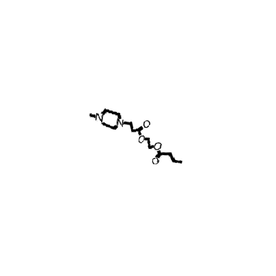 CCCC(=O)OCCOC(=O)CCN1CCN(C)CC1